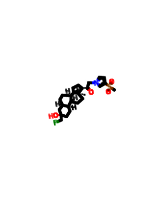 C[C@]12CC[C@H]3[C@@H](CC[C@@H]4C[C@@](O)(CF)CC[C@@H]43)[C@@H]1CC[C@@H]2C(=O)Cn1ccc(S(C)(=O)=O)c1